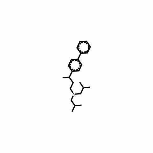 CC(C)CN(CCC(C)c1ccc(-c2ccccc2)cc1)CC(C)C